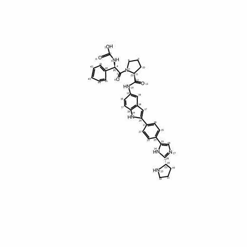 O=C(O)N[C@@H](C(=O)N1CCC[C@H]1C(=O)Nc1ccc2[nH]c(-c3ccc(-c4cnc([C@@H]5CCCN5)[nH]4)cc3)cc2c1)c1ccccc1